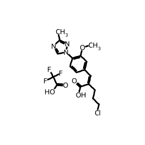 COc1cc(C=C(CCCCl)C(=O)O)ccc1-n1cnc(C)n1.O=C(O)C(F)(F)F